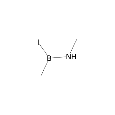 CNB(C)I